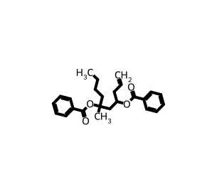 C=CCC(CC(C)(CCCC)OC(=O)c1ccccc1)OC(=O)c1ccccc1